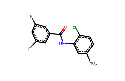 O=C(Nc1cc([N+](=O)[O-])ccc1Cl)c1cc(F)cc(F)c1